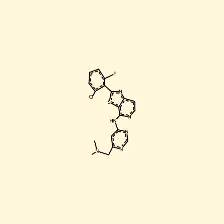 CN(C)Cc1cc(Nc2nccc3nc(-c4c(F)cccc4Cl)sc23)ncn1